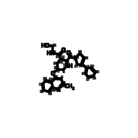 Cc1cc(O[C@@H]2CN[C@H](C(=O)N3CC=C(c4ccccc4)C3)[C@@H](C(=O)NCO)C2)c2ccccc2n1